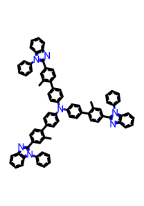 Cc1cc(-c2nc3ccccc3n2-c2ccccc2)ccc1-c1ccc(N(c2ccc(-c3ccc(-c4nc5ccccc5n4-c4ccccc4)cc3C)cc2)c2ccc(-c3ccc(-c4nc5ccccc5n4-c4ccccc4)cc3C)cc2)cc1